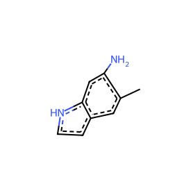 Cc1cc2cc[nH]c2cc1N